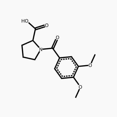 COc1ccc(C(=O)N2CCCC2C(=O)O)cc1OC